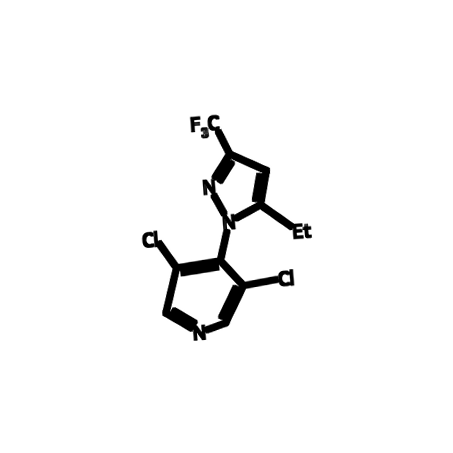 CCc1cc(C(F)(F)F)nn1-c1c(Cl)cncc1Cl